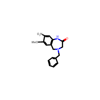 COc1cc2c(cc1[N+](=O)[O-])NC(=O)CN(Cc1ccccc1)C2